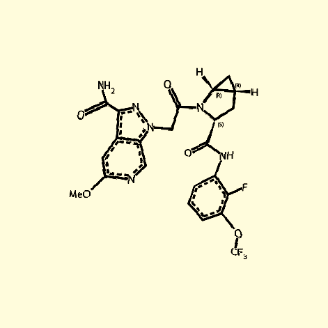 COc1cc2c(C(N)=O)nn(CC(=O)N3[C@@H]4C[C@@H]4C[C@H]3C(=O)Nc3cccc(OC(F)(F)F)c3F)c2cn1